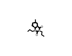 CCCn1c(=O)c2cc(C)ccc2n(CCC)c1=O